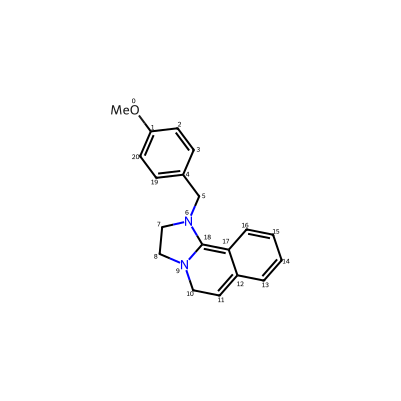 COc1ccc(CN2CCN3CC=c4ccccc4=C32)cc1